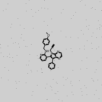 C#CCn1c(-c2cccnc2NCc2ccc(OC)cc2)c(-c2ccccc2)c2nccnc21